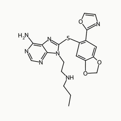 CCCNCCn1c(Sc2cc3c(cc2-c2ncco2)OCO3)nc2c(N)ncnc21